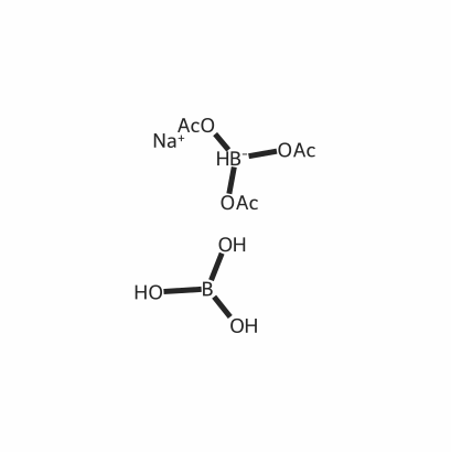 CC(=O)O[BH-](OC(C)=O)OC(C)=O.OB(O)O.[Na+]